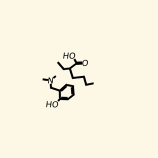 CCCCC(CC)C(=O)O.CN(C)Cc1ccccc1O